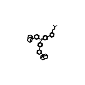 CC(C)CCc1cccc(-c2ccc(N(c3ccc(-c4cccc(C56CC7CC(CC(C7)C5)C6)c4)cc3)c3cccc(C45CC6CC(CC(C6)C4)C5)c3)cc2)c1